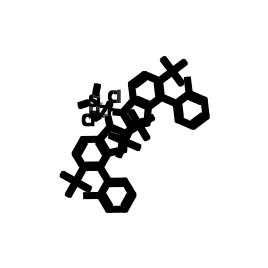 Cc1ccccc1-c1c(C(C)(C)C)ccc2c1C=C(C(C)(C)C)[CH]2[Zr]([Cl])([Cl])([CH]1C(C(C)(C)C)=Cc2c1ccc(C(C)(C)C)c2-c1ccccc1C)[SiH](C)C